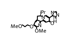 COCCCOc1cc2c(nc1OC)-c1cc(=O)c(-c3ncn[nH]3)cn1[C@H](C(C)C)C2